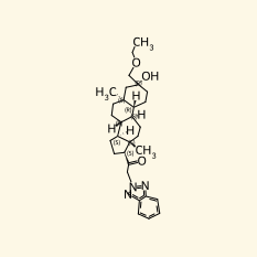 CCOC[C@@]1(O)CC[C@@H]2[C@H]3CC[C@]4(C)[C@@H](C(=O)Cn5nc6ccccc6n5)CC[C@H]4[C@@H]3CC[C@@]2(C)C1